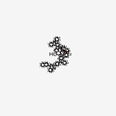 C#Cc1c(/C(=C\C)c2cccc3c4c5c6ccccc6n6c7ccccc7c(cc4n(-c4ncc7cccnc7n4)c23)c56)n2c3ccccc3c3c4c5ccccc5n(-c5ccc(-c6nc(-c7ccc8ccccc8c7)c7ccccc7n6)cc5)c4cc1c32